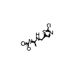 C/C(=N\[N+](=O)[O-])NCc1cnc(Cl)s1